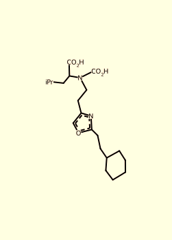 CC(C)CC(C(=O)O)N(CCc1coc(CCC2CCCCC2)n1)C(=O)O